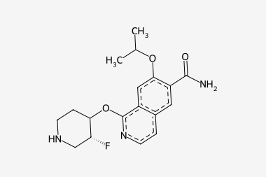 CC(C)Oc1cc2c(OC3CCNC[C@H]3F)nccc2cc1C(N)=O